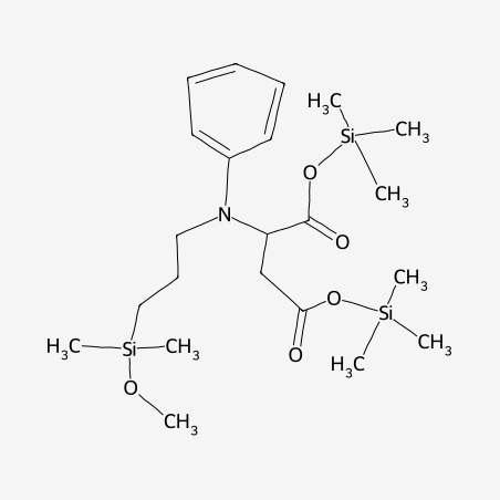 CO[Si](C)(C)CCCN(c1ccccc1)C(CC(=O)O[Si](C)(C)C)C(=O)O[Si](C)(C)C